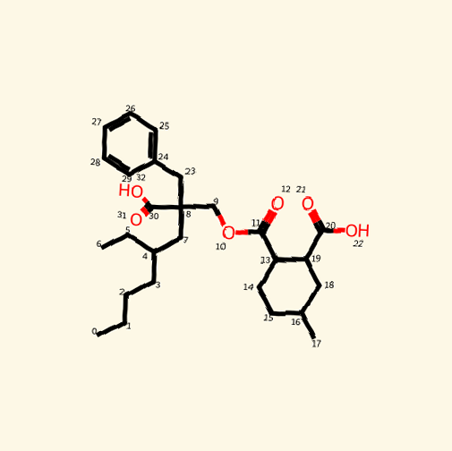 CCCCC(CC)CC(COC(=O)C1CCC(C)CC1C(=O)O)(Cc1ccccc1)C(=O)O